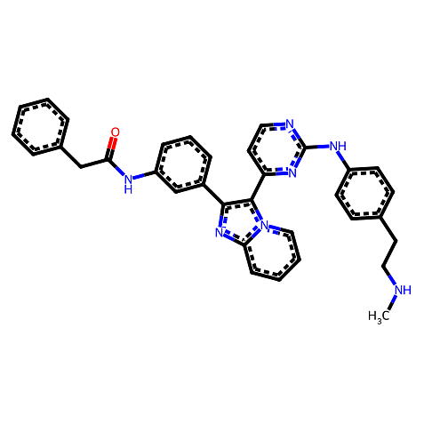 CNCCc1ccc(Nc2nccc(-c3c(-c4cccc(NC(=O)Cc5ccccc5)c4)nc4ccccn34)n2)cc1